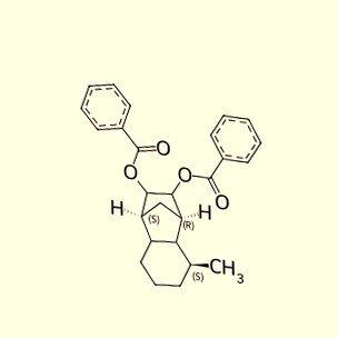 C[C@H]1CCCC2C1[C@H]1C[C@@H]2C(OC(=O)c2ccccc2)C1OC(=O)c1ccccc1